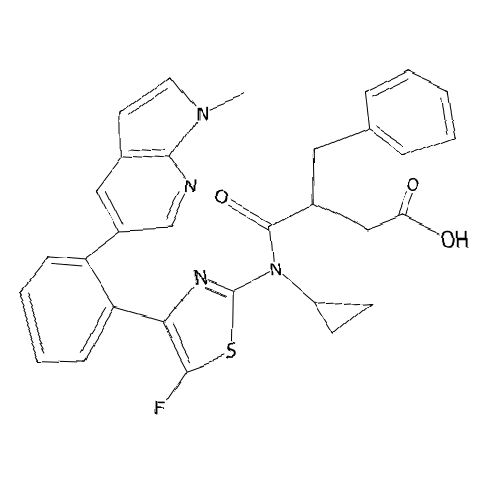 Cn1ccc2cc(-c3ccccc3-c3nc(N(C(=O)C(CC(=O)O)Cc4ccccc4)C4CC4)sc3F)cnc21